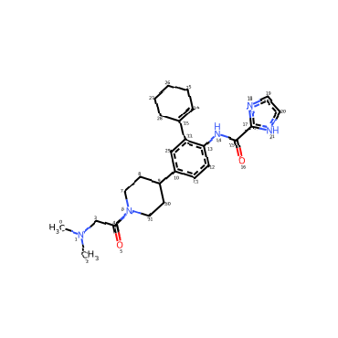 CN(C)CC(=O)N1CCC(c2ccc(NC(=O)c3ncc[nH]3)c(C3=CCCCC3)c2)CC1